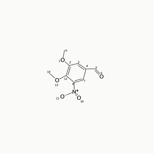 COc1cc(C=O)cc([N+](=O)[O-])c1OC